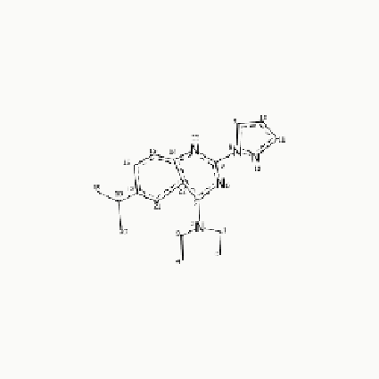 CCN(CC)c1nc(-n2cccn2)nc2ccc(C(C)C)cc12